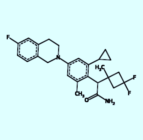 Cc1cc(N2CCc3cc(F)ccc3C2)cc(C2CC2)c1C(C(N)=O)C1(C)CC(F)(F)C1